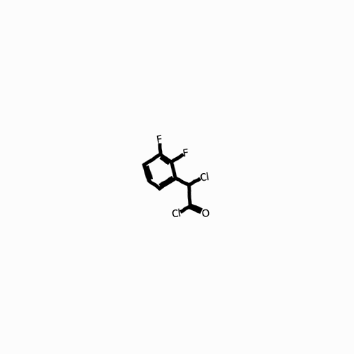 O=C(Cl)C(Cl)c1cccc(F)c1F